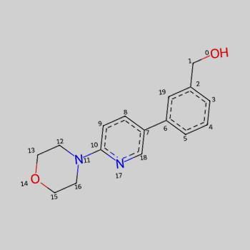 OCc1cccc(-c2ccc(N3CCOCC3)nc2)c1